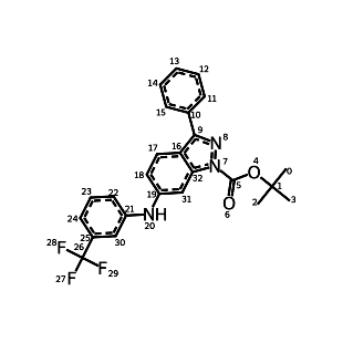 CC(C)(C)OC(=O)n1nc(-c2ccccc2)c2ccc(Nc3cccc(C(F)(F)F)c3)cc21